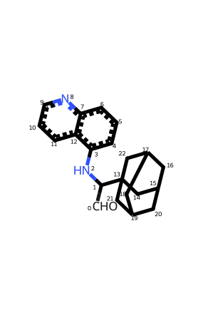 O=CC(Nc1cccc2n[c]ccc12)C12CC3CC(CC(C3)C1)C2